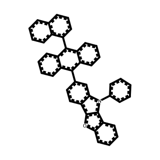 c1ccc(-n2c3cc(-c4c5ccccc5c(-c5cccc6ccccc56)c5ccccc45)ccc3c3oc4ccccc4c32)cc1